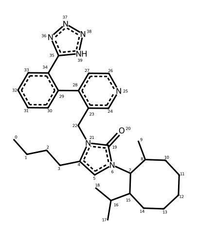 CCCCc1cn(C2C(C)CCCCCC2C(C)C)c(=O)n1Cc1cnccc1-c1ccccc1-c1nnn[nH]1